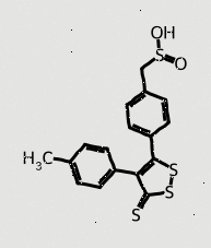 Cc1ccc(-c2c(-c3ccc(CS(=O)O)cc3)ssc2=S)cc1